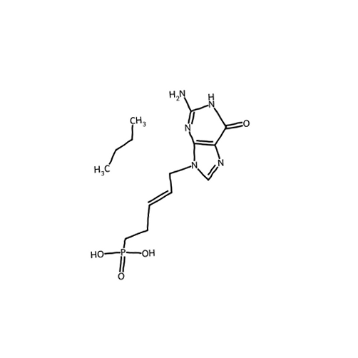 CCCC.Nc1nc2c(ncn2C/C=C/CCP(=O)(O)O)c(=O)[nH]1